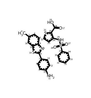 Cc1ccc2nc(-c3ccc(N)cc3)sc2c1.O=C(O)c1sccc1NS(=O)(=O)c1ccccc1